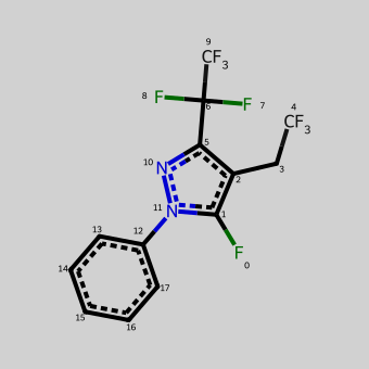 Fc1c(CC(F)(F)F)c(C(F)(F)C(F)(F)F)nn1-c1ccccc1